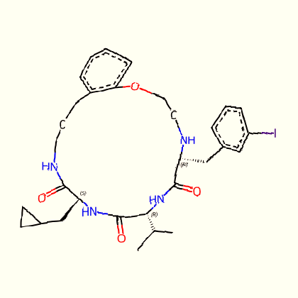 CC(C)[C@H]1NC(=O)[C@@H](Cc2cccc(I)c2)NCCOc2ccccc2CCCNC(=O)[C@H](CC2CC2)NC1=O